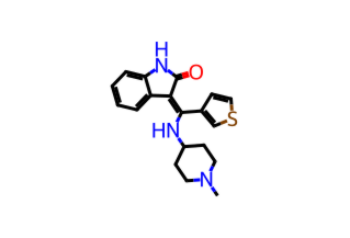 CN1CCC(NC(=C2C(=O)Nc3ccccc32)c2ccsc2)CC1